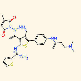 C=C(CCN(C)C)Nc1ccc(-c2sc(/N=C(\N)c3cccs3)c(C(=C)N(N)N3C(=O)C=C(C)C3=O)c2C)cc1